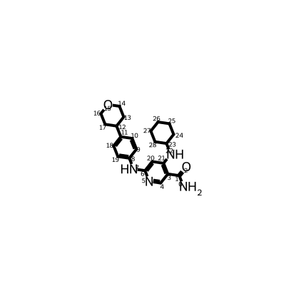 NC(=O)c1cnc(Nc2ccc(C3CCOCC3)cc2)cc1NC1CCCCC1